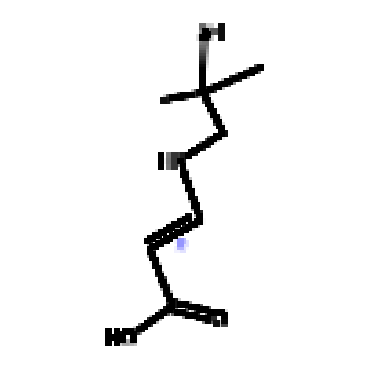 CC(C)(S)CN/C=C/C(=O)O